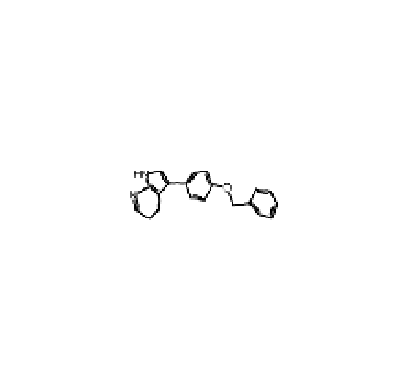 C1=Nc2[nH]cc(-c3ccc(OCc4ccccc4)cc3)c2CC1